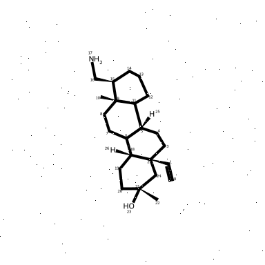 C=C[C@]12CC[C@@H]3C(CC[C@@]4(C)C3CCC[C@@H]4CN)[C@H]1CC[C@@](C)(O)C2